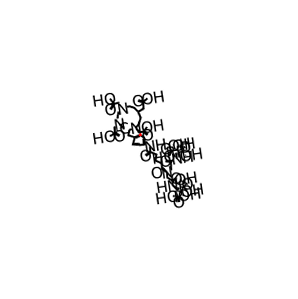 O=C(O)CC1CCN(CC(=O)O)CCN(CC(=O)O)CC(Cc2ccc(NC(=O)CCCC(=O)N(CC(=O)NC(P(=O)(O)O)P(=O)(O)O)CC(=O)NC(P(=O)(O)O)P(=O)(O)O)cc2)N(CC(=O)O)CC1